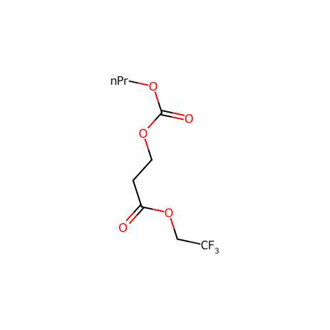 CCCOC(=O)OCCC(=O)OCC(F)(F)F